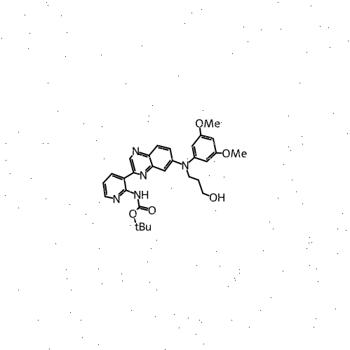 COc1cc(OC)cc(N(CCCO)c2ccc3ncc(-c4cccnc4NC(=O)OC(C)(C)C)nc3c2)c1